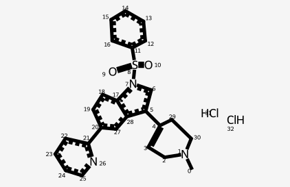 CN1CC=C(c2cn(S(=O)(=O)c3ccccc3)c3ccc(-c4ccccn4)cc23)CC1.Cl.Cl